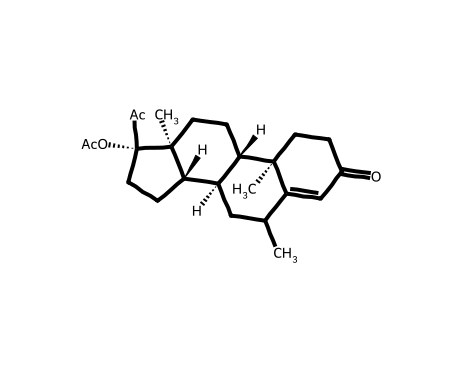 CC(=O)O[C@@]1(C(C)=O)CC[C@H]2[C@@H]3CC(C)C4=CC(=O)CC[C@]4(C)[C@H]3CC[C@@]21C